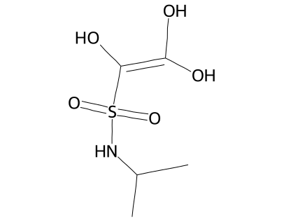 CC(C)NS(=O)(=O)C(O)=C(O)O